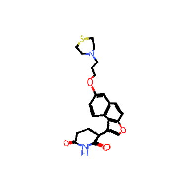 O=C1CCC(c2coc3ccc4cc(OCCCN5CCSCC5)ccc4c23)C(=O)N1